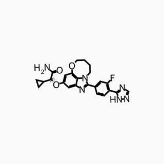 NC(=O)[C@H](Oc1cc2c3c(c1)nc(-c1ccc(-c4ncn[nH]4)c(F)c1)n3CCCCO2)C1CC1